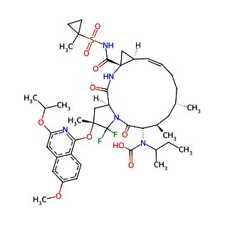 CCC(C)N(C(=O)O)[C@@H]1C(=O)N2[C@@H](C[C@@](C)(Oc3nc(OC(C)C)cc4cc(OC)ccc34)C2(F)F)C(=O)N[C@]2(C(=O)NS(=O)(=O)C3(C)CC3)C[C@H]2/C=C\CC[C@H](C)C[C@H]1C